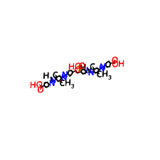 Cc1cc(N=Nc2ccc(C(=O)O)cc2)c(C)cc1N=Nc1ccc(C=Cc2ccc(N=Nc3cc(C)c(N=Nc4ccc(C(=O)O)cc4)cc3C)cc2S(=O)(=O)O)cc1